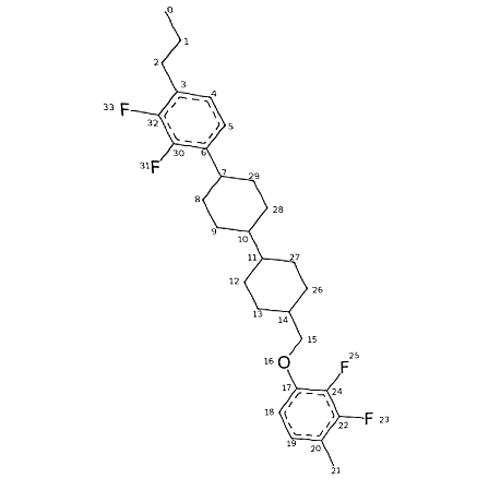 CCCc1ccc(C2CCC(C3CCC(COc4ccc(C)c(F)c4F)CC3)CC2)c(F)c1F